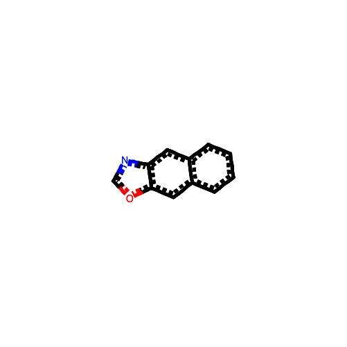 c1ccc2cc3ocnc3cc2c1